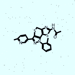 CC(=O)Nc1nc2c(s1)-c1c(c(-c3ccc(C)nc3)nn1-c1ccccc1C)SC2